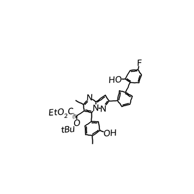 CCOC(=O)[C@@H](OC(C)(C)C)c1c(C)nc2cc(-c3cccc(-c4ccc(F)cc4O)c3)nn2c1-c1ccc(C)c(O)c1